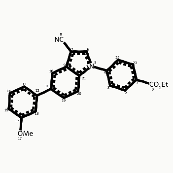 CCOC(=O)c1ccc(-n2cc(C#N)c3cc(-c4cccc(OC)c4)ccc32)cc1